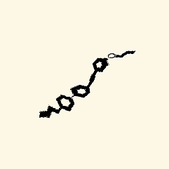 C=CCC[C@H]1CC[C@H](c2ccc(C#Cc3ccc(OCCC)cc3)cc2)CC1